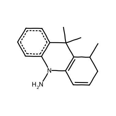 CC1CC=CC2=C1C(C)(C)c1ccccc1N2N